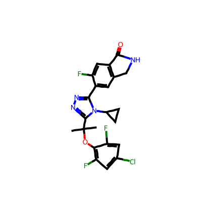 CC(C)(Oc1c(F)cc(Cl)cc1F)c1nnc(-c2cc3c(cc2F)C(=O)NC3)n1C1CC1